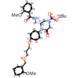 COc1ccccc1COCCCOc1ccc(N2C(=O)CN(C(=O)OC(C)(C)C)C[C@H]2CNC(=O)c2ccccc2OC)cc1